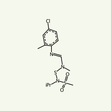 Cc1cc(Cl)ccc1/N=C/N(C)SN(C(C)C)S(C)(=O)=O